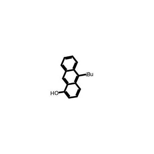 CCC(C)c1c2ccccc2cc2c(O)cccc12